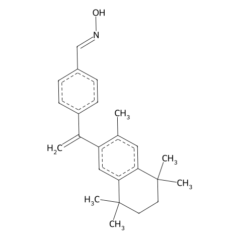 C=C(c1ccc(C=NO)cc1)c1cc2c(cc1C)C(C)(C)CCC2(C)C